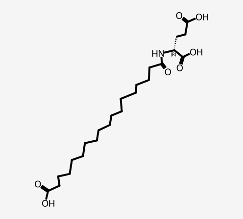 O=C(O)CCCCCCCCCCCCCCCCC(=O)N[C@H](CCC(=O)O)C(=O)O